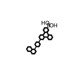 OB(O)c1ccc2c3ccc(-c4ccc(-c5cccc6ccccc56)cc4)cc3c3ccccc3c2c1